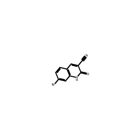 N#Cc1cc2ccc(Br)cc2[nH]c1=O